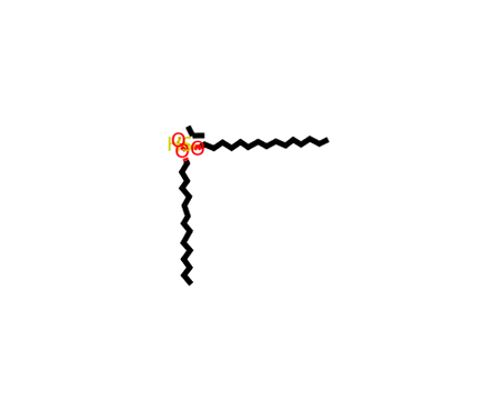 CCCCCCCCCCCCCCCO[SH](=O)(OCCCCCCCCCCCCCCC)C(C)C